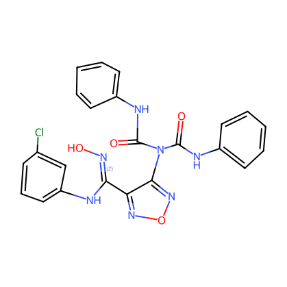 O=C(Nc1ccccc1)N(C(=O)Nc1ccccc1)c1nonc1/C(=N/O)Nc1cccc(Cl)c1